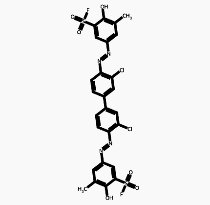 Cc1cc(N=Nc2ccc(-c3ccc(N=Nc4cc(C)c(O)c(S(=O)(=O)F)c4)c(Cl)c3)cc2Cl)cc(S(=O)(=O)F)c1O